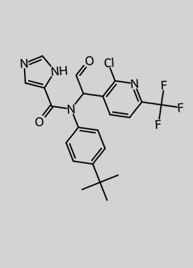 CC(C)(C)c1ccc(N(C(=O)c2cnc[nH]2)C(C=O)c2ccc(C(F)(F)F)nc2Cl)cc1